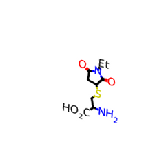 CCN1C(=O)CC(SCC(N)C(=O)O)C1=O